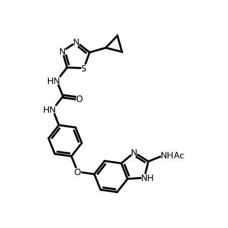 CC(=O)Nc1nc2cc(Oc3ccc(NC(=O)Nc4nnc(C5CC5)s4)cc3)ccc2[nH]1